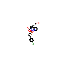 O=C(O)C1(NS(=O)(=O)C2CC=C(c3ccc(Cl)cc3)S2)CC1(CCCO)c1ccccc1